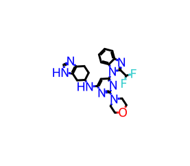 FC(F)c1nc2ccccc2n1-c1cc(NC2CCc3nc[nH]c3C2)nc(N2CCOCC2)n1